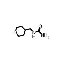 NC(=O)NCC1CCOCC1